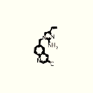 C=Cc1cn(Cc2ccc3ncc(Cl)cc3c2)c(N)n1